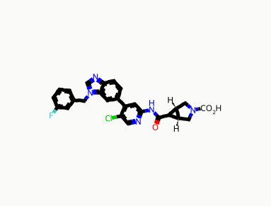 O=C(Nc1cc(-c2ccc3ncn(Cc4cccc(F)c4)c3c2)c(Cl)cn1)C1[C@H]2CN(C(=O)O)C[C@@H]12